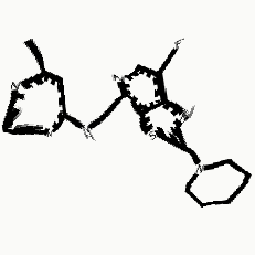 Cc1cc(Nc2ncc(F)c3nc(N4CCCCC4)sc23)ncn1